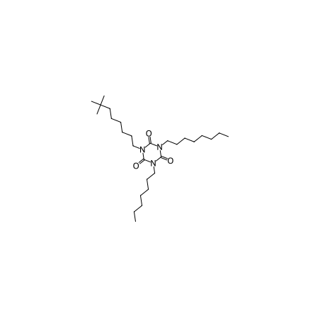 CCCCCCCCn1c(=O)n(CCCCCCC)c(=O)n(CCCCCCC(C)(C)C)c1=O